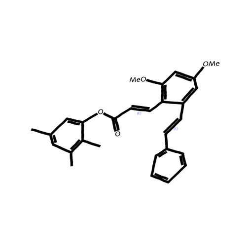 COc1cc(/C=C/c2ccccc2)c(/C=C/C(=O)Oc2cc(C)cc(C)c2C)c(OC)c1